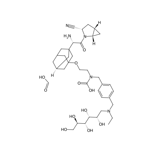 CCN(Cc1ccc(CN(CCOC23CC4C[C@H](C2)CC([C@H](N)C(=O)N2[C@H](C#N)C[C@@H]5C[C@@H]52)(C4)C3)C(=O)O)cc1)C[C@H](O)[C@@H](O)[C@H](O)[C@H](O)CO.O=CO